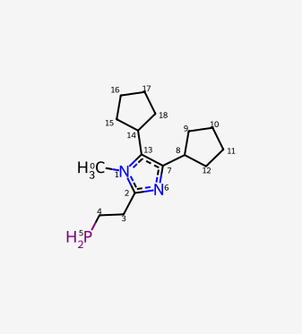 Cn1c(CCP)nc(C2CCCC2)c1C1CCCC1